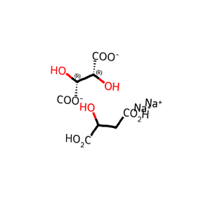 O=C(O)CC(O)C(=O)O.O=C([O-])[C@H](O)[C@@H](O)C(=O)[O-].[Na+].[Na+]